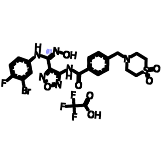 O=C(Nc1nonc1/C(=N\O)Nc1ccc(F)c(Br)c1)c1ccc(CN2CCS(=O)(=O)CC2)cc1.O=C(O)C(F)(F)F